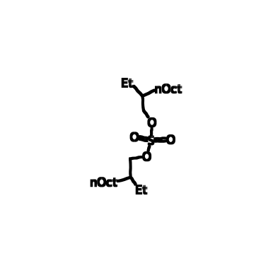 CCCCCCCCC(CC)COS(=O)(=O)OCC(CC)CCCCCCCC